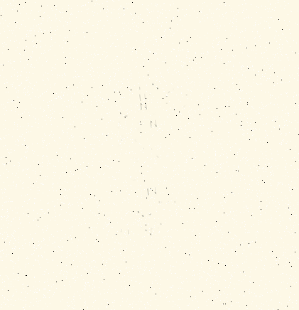 CC(C)(C)c1noc(C(=O)NCc2ccc3c(ccc4cnc5[nH]c(-c6cccc(F)c6[N+](=O)[O-])nc5c43)c2F)n1